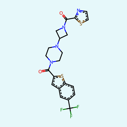 O=C(c1cc2cc(C(F)(F)F)ccc2s1)N1CCN(C2CN(C(=O)c3nccs3)C2)CC1